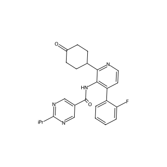 CC(C)c1ncc(C(=O)Nc2c(-c3ccccc3F)ccnc2C2CCC(=O)CC2)cn1